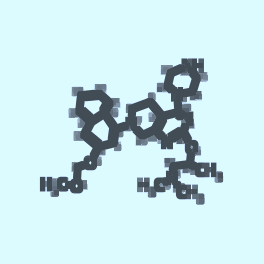 COCOc1cc(N2CCc3c(nc(OC(C)CN(C)C)nc3N3CCNCC3)C2)c2ccccc2c1